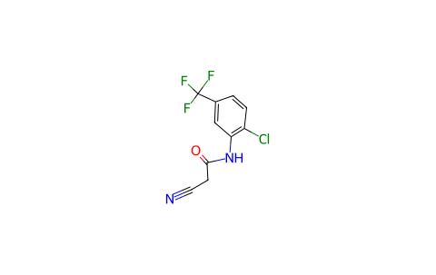 N#CCC(=O)Nc1cc(C(F)(F)F)ccc1Cl